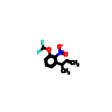 C=C[C](C)c1cccc(OC(F)F)c1[N+](=O)[O-]